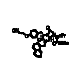 CCCN(C(=O)NC)N1CC(=O)N2[C@@H](Cc3ccc(OCCN=O)cc3)C(=O)N(Cc3cccc4ccccc34)C[C@@H]21